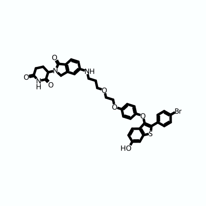 O=C1CCC(N2Cc3cc(NCCCOCCOc4ccc(Oc5c(-c6ccc(Br)cc6)sc6cc(O)ccc56)cc4)ccc3C2=O)C(=O)N1